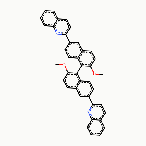 COc1ccc2cc(-c3ccc4ccccc4n3)ccc2c1-c1c(OC)ccc2cc(-c3ccc4ccccc4n3)ccc12